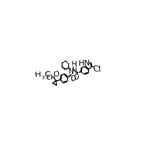 COC(=O)C1(c2ccc(C(=O)N(NC(=O)c3ccc4c(Cl)c[nH]c4c3)C3CCCCC3)cc2)CC1